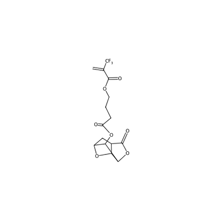 C=C(C(=O)OCCCC(=O)OC1C2CC3C(=O)OC1C3O2)C(F)(F)F